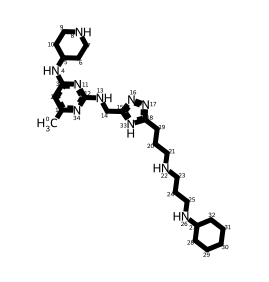 Cc1cc(NC2CCNCC2)nc(NCc2nnc(CCCNCCCNC3CCCCC3)[nH]2)n1